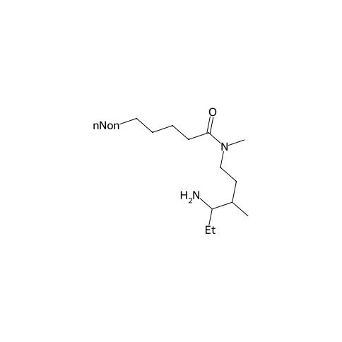 CCCCCCCCCCCCCC(=O)N(C)CCC(C)C(N)CC